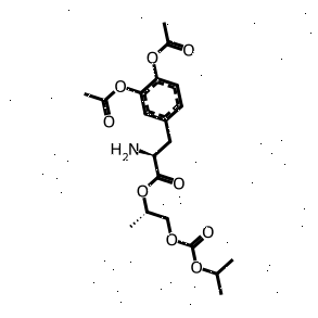 CC(=O)Oc1ccc(C[C@H](N)C(=O)O[C@@H](C)COC(=O)OC(C)C)cc1OC(C)=O